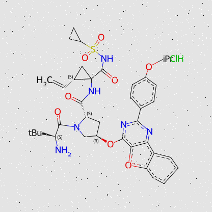 C=C[C@@H]1CC1(NC(=O)[C@@H]1C[C@@H](Oc2nc(-c3ccc(OC(C)C)cc3)nc3c2oc2ccccc23)CN1C(=O)[C@@H](N)C(C)(C)C)C(=O)NS(=O)(=O)C1CC1.Cl